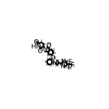 O=C1CCC(N2Cc3cc(O[C@H]4CCCC[C@@H]4N4CC(c5ncc(C(F)(F)F)cn5)C4)ccc3C2=O)C(=O)N1